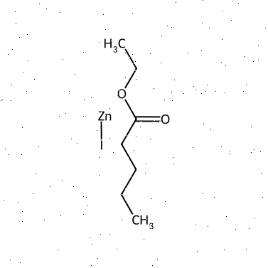 CCCCC(=O)OCC.[Zn][I]